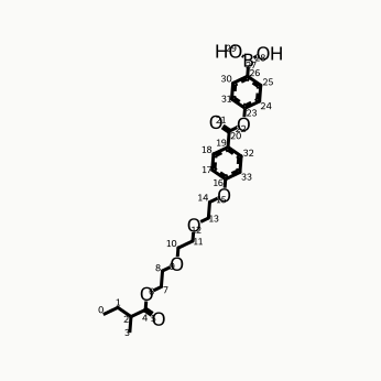 CCC(C)C(=O)OCCOCCOCCOc1ccc(C(=O)Oc2ccc(B(O)O)cc2)cc1